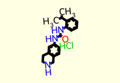 CC(C)c1ccccc1NC(=O)Nc1ccc2c(c1)CCNC2.Cl